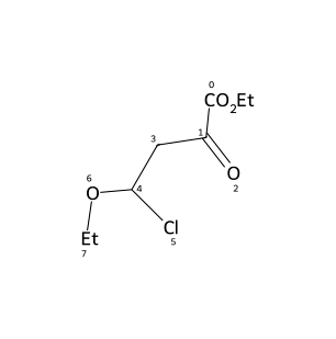 CCOC(=O)C(=O)CC(Cl)OCC